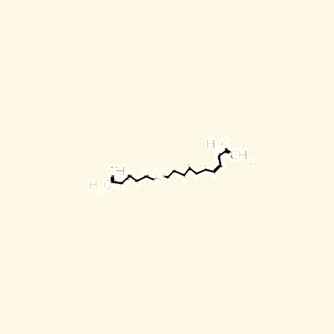 C=C(C)C/C=C\CCCCCCOCCCCCC(=C)C